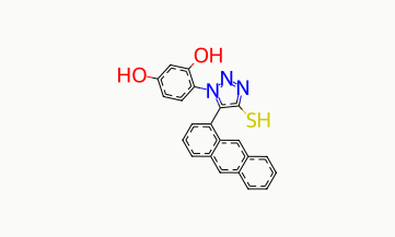 Oc1ccc(-n2nnc(S)c2-c2cccc3cc4ccccc4cc23)c(O)c1